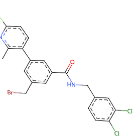 Cc1nc(F)ccc1-c1cc(CBr)cc(C(=O)NCc2ccc(Cl)c(Cl)c2)c1